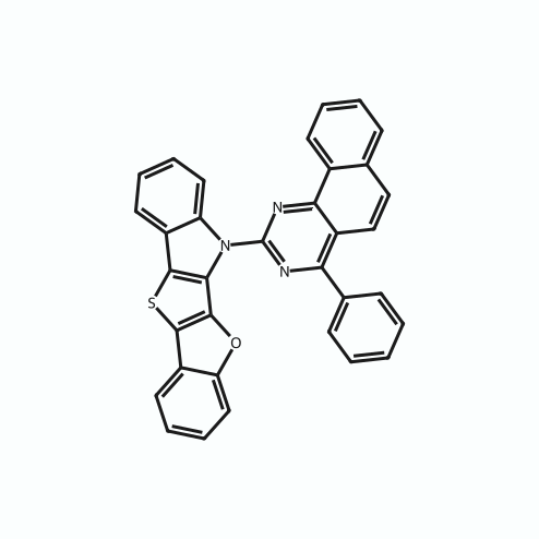 c1ccc(-c2nc(-n3c4ccccc4c4sc5c6ccccc6oc5c43)nc3c2ccc2ccccc23)cc1